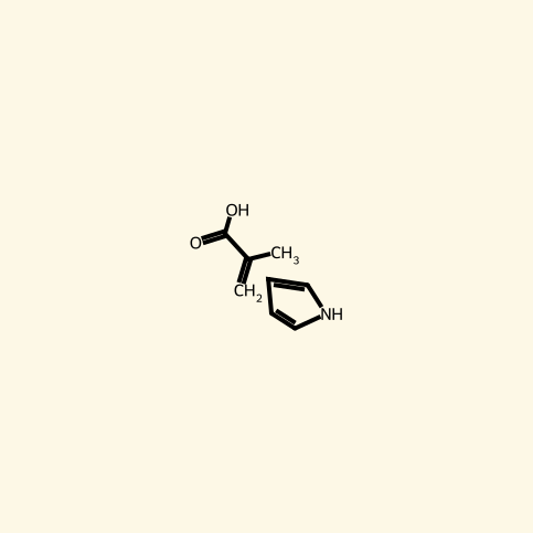 C=C(C)C(=O)O.c1cc[nH]c1